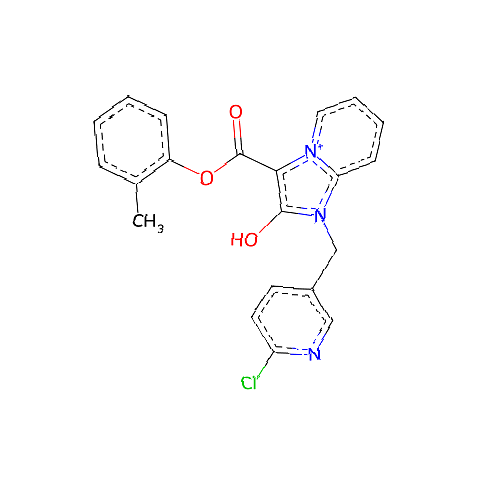 Cc1ccccc1OC(=O)c1c(O)n(Cc2ccc(Cl)nc2)c2cccc[n+]12